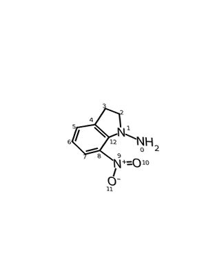 NN1CCc2cccc([N+](=O)[O-])c21